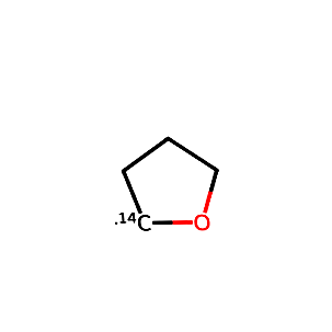 C1C[14CH]OC1